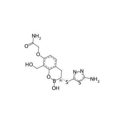 NC(=O)COc1ccc2c(c1CO)OB(O)[C@@H](Sc1nnc(N)s1)C2